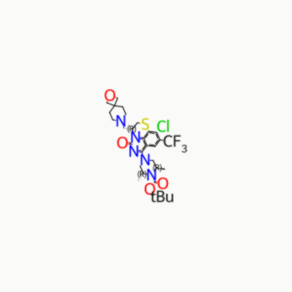 C[C@@H]1CN(c2nc(=O)n3c4c(c(Cl)c(C(F)(F)F)cc24)SC[C@H]3CN2CCC3(CC2)COC3)C[C@@H](C)N1C(=O)OC(C)(C)C